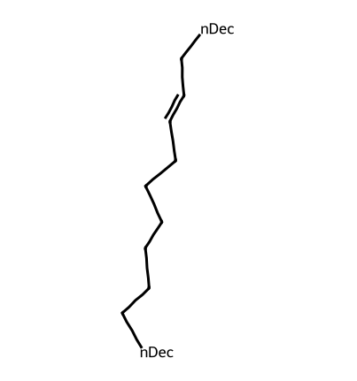 [CH2]CCCCCCCCCC/C=C/CCCCCCCCCCCCCCC[CH2]